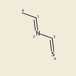 CC=NC=S